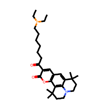 CCP(CC)CCCCCCC(=O)c1cc2cc3c4c(c2oc1=O)C(C)(C)CCN4CCC3(C)C